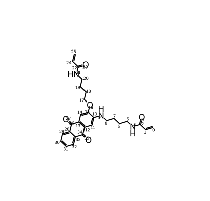 C=CC(=O)NCCCCNc1cc2c(cc1OCCCCNC(=O)C=C)C(=O)c1ccccc1C2=O